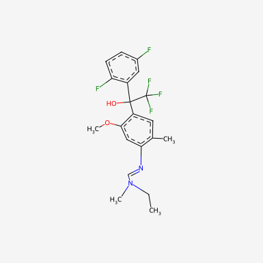 CCN(C)/C=N/c1cc(OC)c(C(O)(c2cc(F)ccc2F)C(F)(F)F)cc1C